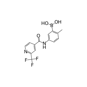 Cc1ccc(NC(=O)c2ccnc(C(F)(F)F)c2)cc1B(O)O